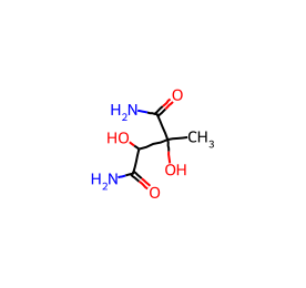 CC(O)(C(N)=O)C(O)C(N)=O